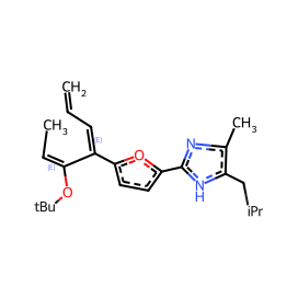 C=C/C=C(\C(=C/C)OC(C)(C)C)c1ccc(-c2nc(C)c(CC(C)C)[nH]2)o1